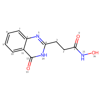 O=C(CCc1nc2ccccc2c(=O)[nH]1)NO